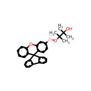 CC(C)(O)C(C)(C)OBc1ccc2c(c1)Oc1ccccc1C21c2ccccc2-c2ccccc21